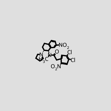 CN(C(=O)Cc1cc(Cl)c(Cl)cc1[N+](=O)[O-])[C@@H]1c2cc([N+](=O)[O-])ccc2CC[C@H]1N1CCCC1